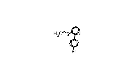 CCSc1cccnc1-c1cnc(Br)cn1